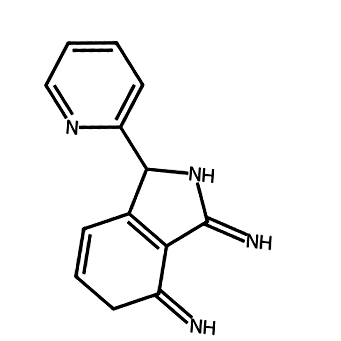 N=C1CC=CC2=C1C(=N)NC2c1ccccn1